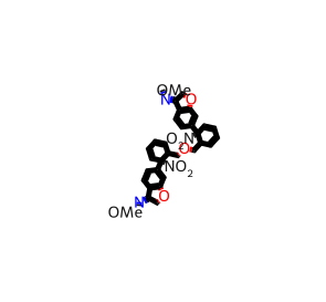 CON=C1COc2cc(C3([N+](=O)[O-])C=CC=CC3COCC3C=CC=CC3(c3ccc4c(c3)OCC4=NOC)[N+](=O)[O-])ccc21